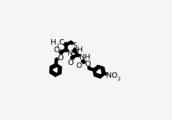 C=C1CS[C@H]2C(NC(=O)OCc3ccc([N+](=O)[O-])cc3)C(=O)N2C1C(=O)OCc1ccccc1